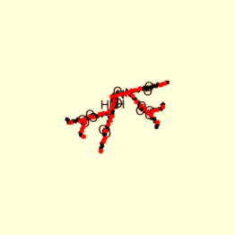 CC/C=C\CCCCOC(CCC(=O)OCCCCCCCN(CCCCCCCC(=O)OCCCCCCCCC)CCCNC(=O)c1cccc(C(=O)NCCCN(CCCCCCCOC(=O)CCC(OCCCC/C=C\CC)OCCCC/C=C\CC)CCCCCCCC(=O)OCCCCCCCCC)c1)OCCCC/C=C\CC